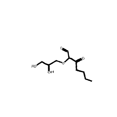 CCCCC(=O)C([C]=O)OCC(O)CO